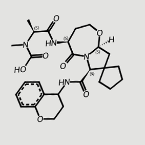 C[C@@H](C(=O)N[C@H]1CCO[C@H]2CC3(CCCC3)[C@@H](C(=O)NC3CCOc4ccccc43)N2C1=O)N(C)C(=O)O